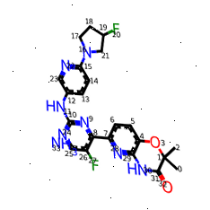 CC1(C)Oc2ccc(-c3nc(Nc4ccc(N5CCC(F)C5)nc4)ncc3F)nc2NC1=O.N